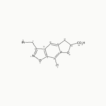 CC(C)Cc1noc2c(Cl)c3c(cc12)CC(C(=O)O)O3